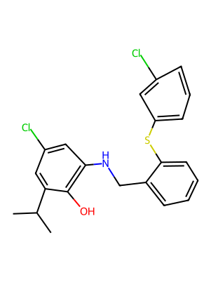 CC(C)c1cc(Cl)cc(NCc2ccccc2Sc2cccc(Cl)c2)c1O